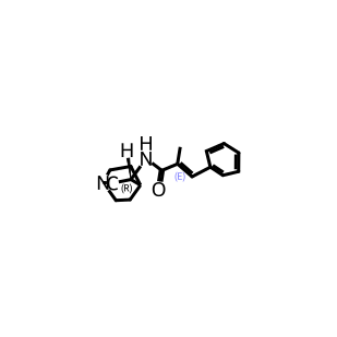 C/C(=C\c1ccccc1)C(=O)N[C@H]1CN2CCC1CC2